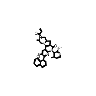 C=CC(=O)N1CC2Cc3c(c4cc(F)c(-c5cccc6cccc(Cl)c56)nc4n(-c4c(C)ccnc4C(C)C)c3=O)N2CC1C